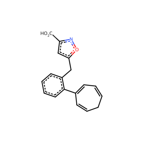 O=C(O)c1cc(Cc2ccccc2C2=CC=CCC=C2)on1